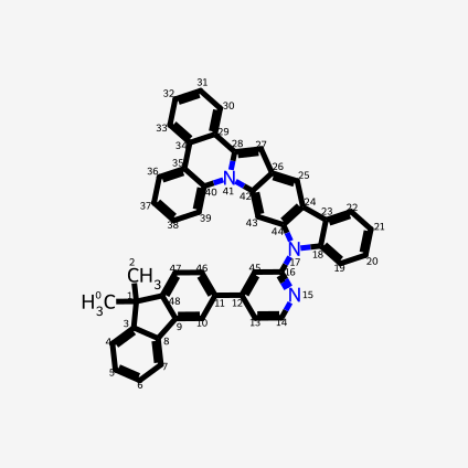 CC1(C)c2ccccc2-c2cc(-c3ccnc(-n4c5ccccc5c5cc6cc7c8ccccc8c8ccccc8n7c6cc54)c3)ccc21